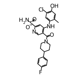 Cc1cc(O)c(Cl)cc1Nc1cc(S(N)(=O)=O)ncc1C(=O)N1CCC(c2ccc(F)cc2)CC1